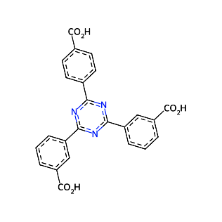 O=C(O)c1ccc(-c2nc(-c3cccc(C(=O)O)c3)nc(-c3cccc(C(=O)O)c3)n2)cc1